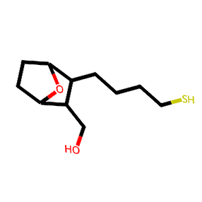 OCC1C2CCC(O2)C1CCCCS